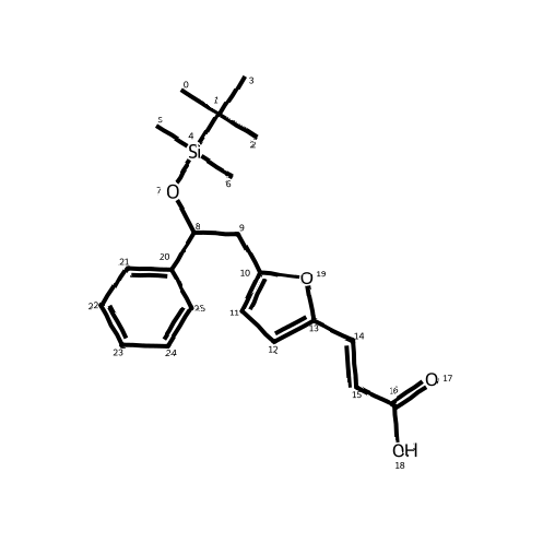 CC(C)(C)[Si](C)(C)OC(Cc1ccc(/C=C/C(=O)O)o1)c1ccccc1